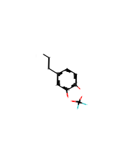 CCCc1ccc2c(c1)OC(F)(F)O2